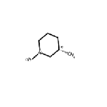 CCCN1CCC[C@H](C)C1